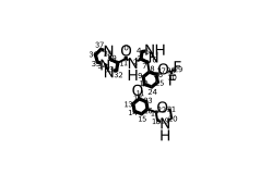 O=C(Nc1c[nH]nc1-c1cc(Oc2cccc(C3CNCCO3)c2)ccc1OC(F)F)c1cnn2cccnc12